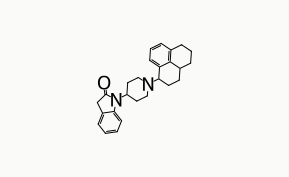 O=C1Cc2ccccc2N1C1CCN(C2CCC3CCCc4cccc2c43)CC1